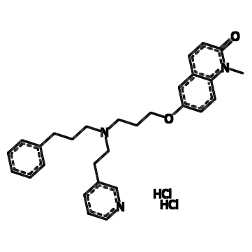 Cl.Cl.Cn1c(=O)ccc2cc(OCCCN(CCCc3ccccc3)CCc3cccnc3)ccc21